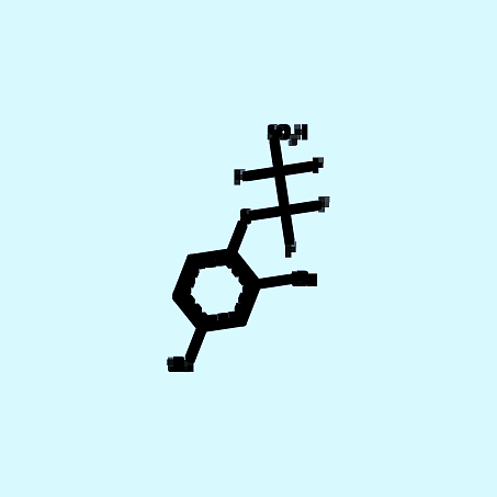 CC(C)(C)c1ccc(SC(F)(F)C(F)(F)S(=O)(=O)O)c(C(C)(C)C)c1